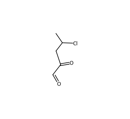 CC(Cl)CC(=O)C=O